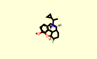 COc1ccc2c3c1O[C@@H]1C(F)CCC4[C@H](C2)N(C(C)C2CC2)CC[C@]341